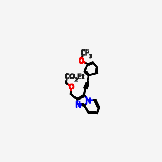 CCOC(=O)COCc1nc2ccccn2c1C#Cc1cccc(OC(F)(F)F)c1